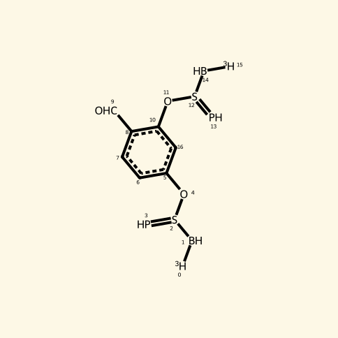 [3H]BS(=P)Oc1ccc(C=O)c(OS(=P)B[3H])c1